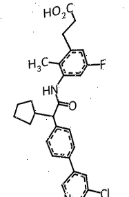 Cc1c(CCC(=O)O)cc(F)cc1NC(=O)C(c1ccc(-c2cncc(Cl)c2)cc1)C1CCCC1